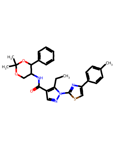 CCc1c(C(=O)NC2COC(C)(C)OC2c2ccccc2)cnn1-c1nc(-c2ccc(C)cc2)cs1